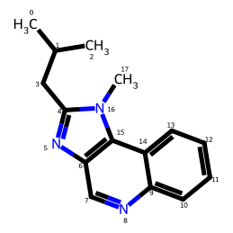 CC(C)Cc1nc2cnc3ccccc3c2n1C